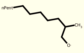 CCCCCCCCCCC(C)C[O]